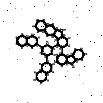 c1ccc2cc(-c3nc(-c4ccc5ccccc5c4)nc(-c4c(-c5cccc6sc7ccccc7c56)ccc5oc6cc7ccccc7cc6c45)n3)ccc2c1